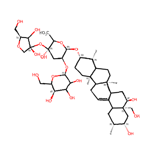 C[C@@H]1CC2C3=CCC4[C@@](C)(CCC5[C@@H](C)[C@@H](O[C@@H]6OC(C(=O)O)[C@](O)(O[C@]7(O)CO[C@@H](CO)C7O)CC6O[C@@H]6OC(CO)[C@H](O)C(O)C6O)CC[C@@]54C)C3C[C@@H](O)[C@@]2(CO)C[C@@H]1O